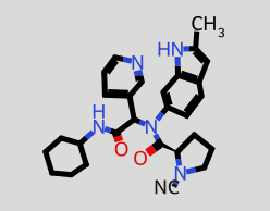 Cc1cc2ccc(N(C(=O)[C@H]3CCCN3C#N)C(C(=O)NC3CCCCC3)c3cccnc3)cc2[nH]1